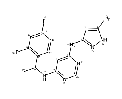 CC(C)c1cc(Nc2cc(NC(C)c3ccc(F)cc3F)ncn2)n[nH]1